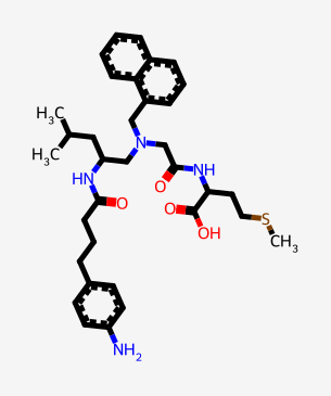 CSCCC(NC(=O)CN(Cc1cccc2ccccc12)CC(CC(C)C)NC(=O)CCCc1ccc(N)cc1)C(=O)O